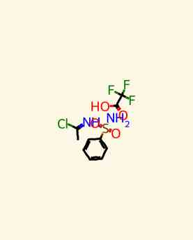 CC(=N)Cl.NS(=O)(=O)c1ccccc1.O=C(O)C(F)(F)F